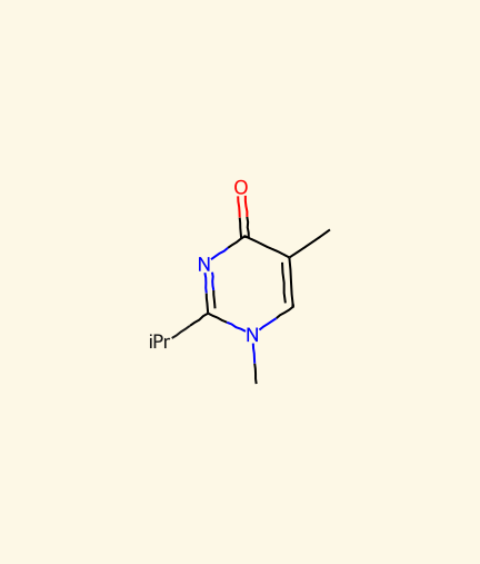 Cc1cn(C)c(C(C)C)nc1=O